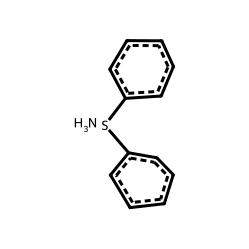 N.c1ccc(Sc2ccccc2)cc1